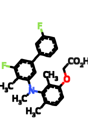 Cc1ccc(OCC(=O)O)c(C)c1N(C)c1cc(-c2cccc(F)c2)cc(F)c1C